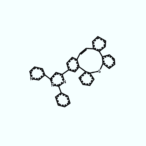 C1=C\c2ccc(-c3cc(-c4cccnc4)nc(-c4ccccc4)n3)cc2-c2ccccc2Sc2ccccc2-c2ccccc2/1